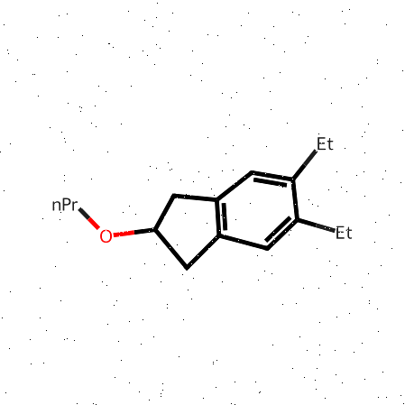 CCCOC1Cc2cc(CC)c(CC)cc2C1